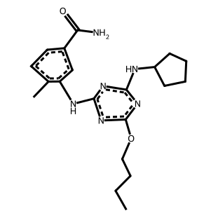 CCCCOc1nc(Nc2cc(C(N)=O)ccc2C)nc(NC2CCCC2)n1